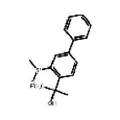 C[S+]([O-])c1cc(-c2ccccc2)ccc1C(C)(O)C(=O)O